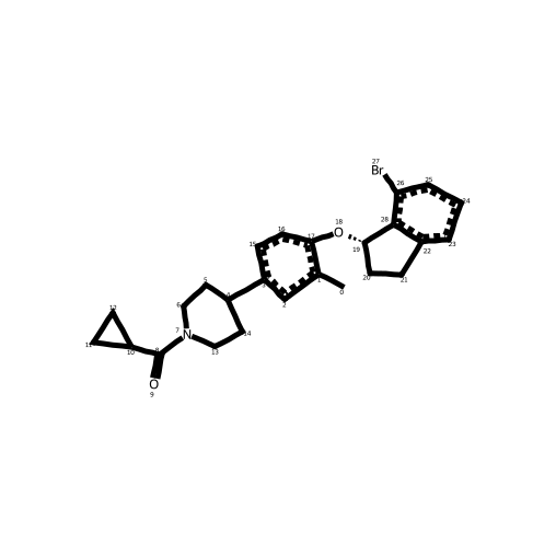 Cc1cc(C2CCN(C(=O)C3CC3)CC2)ccc1O[C@H]1CCc2cccc(Br)c21